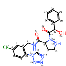 O=C(NCc1cc(Cl)ccc1-n1cnnn1)[C@@H]1CCNN1C(=O)[C@H](O)c1ccccc1